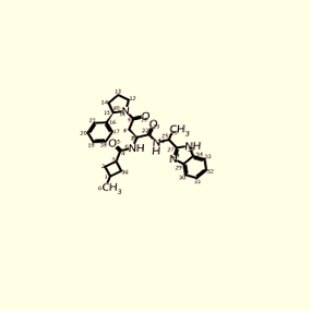 CC1CC(C(=O)N[C@@H](CC(=O)N2CCC[C@@H]2c2ccccc2)C(=O)NC(C)c2nc3ccccc3[nH]2)C1